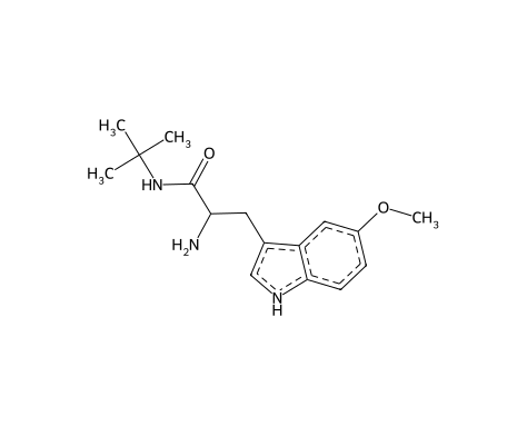 COc1ccc2[nH]cc(CC(N)C(=O)NC(C)(C)C)c2c1